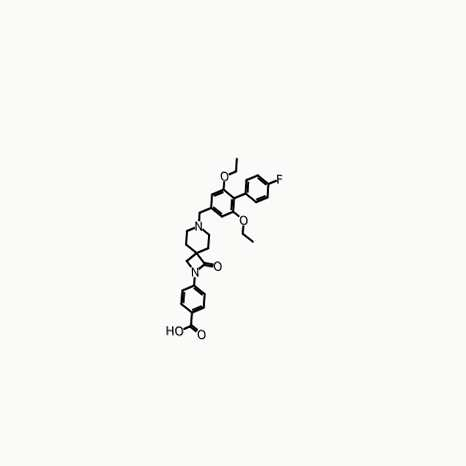 CCOc1cc(CN2CCC3(CC2)CN(c2ccc(C(=O)O)cc2)C3=O)cc(OCC)c1-c1ccc(F)cc1